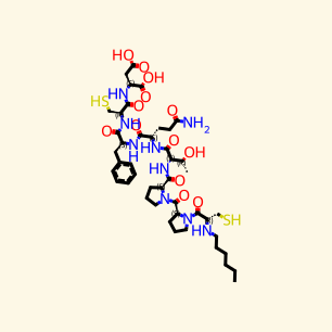 CCCCCCN[C@@H](CS)C(=O)N1CCC[C@H]1C(=O)N1CCC[C@H]1C(=O)N[C@H](C(=O)N[C@@H](CCC(N)=O)C(=O)N[C@@H](Cc1ccccc1)C(=O)N[C@@H](CS)C(=O)N[C@@H](CC(=O)O)C(=O)O)[C@@H](C)O